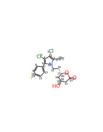 CC(C)c1c(Cl)c(Cl)c(-c2ccc(F)cc2)n1CC[C@H]1C[C@H](O)CC(=O)O1